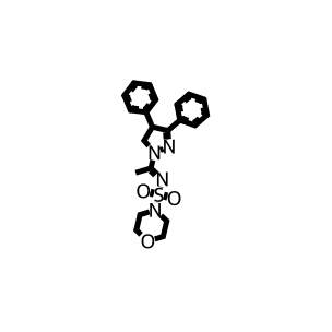 C/C(=N\S(=O)(=O)N1CCOCC1)N1CC(c2ccccc2)C(c2ccccc2)=N1